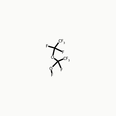 FOC(F)(OC(F)(F)C(F)(F)F)C(F)(F)F